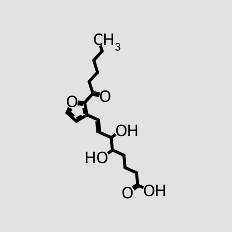 CCCCCC(=O)c1occc1/C=C/C(O)C(O)CCCC(=O)O